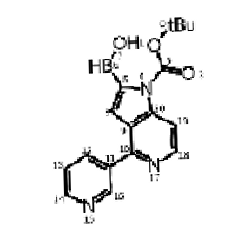 CC(C)(C)OC(=O)n1c(BO)cc2c(-c3cccnc3)nccc21